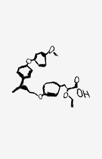 CCO[C@@H](Cc1ccc(OC/C=C(/C)c2ccc(Oc3ccc(OC)cc3)cc2)cc1)C(=O)O